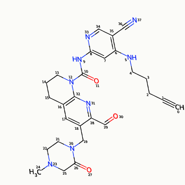 C#CCCCNc1cc(NC(=O)N2CCCc3cc(CN4CCN(C)CC4=O)c(C=O)nc32)ncc1C#N